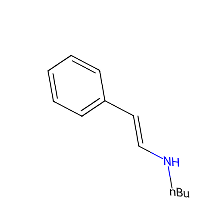 CCCCNC=Cc1ccccc1